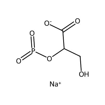 O=C([O-])C(CO)OP(=O)=O.[Na+]